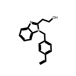 C=Cc1ccc(Cn2c(CCO)nc3ccccc32)cc1